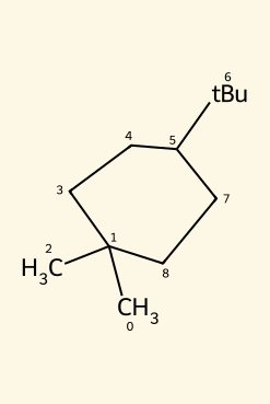 CC1(C)CCC(C(C)(C)C)CC1